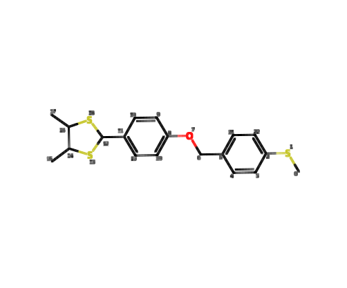 CSc1ccc(COc2ccc(C3SC(C)C(C)S3)cc2)cc1